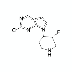 F[C@@H]1CNCC[C@@H]1n1ccc2cnc(Cl)nc21